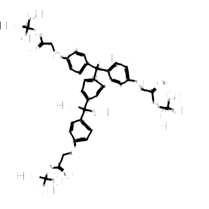 CC(C)(C)OC(=O)COc1ccc(C(C)(C)c2ccc(C(C)(c3ccc(OCC(=O)OC(C)(C)C)cc3)c3ccc(OCC(=O)OC(C)(C)C)cc3)cc2)cc1